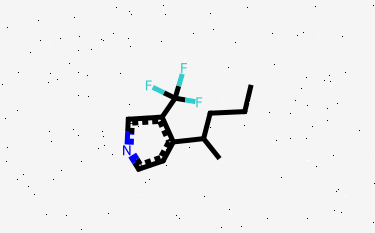 CCCC(C)c1ccncc1C(F)(F)F